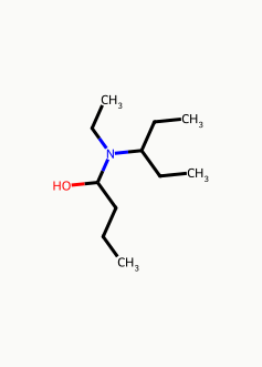 CCCC(O)N(CC)C(CC)CC